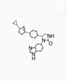 O=C1NCC(c2ccc(-c3ccc(C4CC4)s3)cc2)N1c1ccc2[nH]cnc2c1